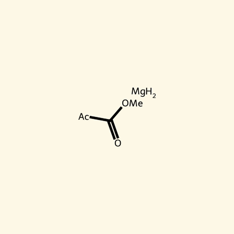 COC(=O)C(C)=O.[MgH2]